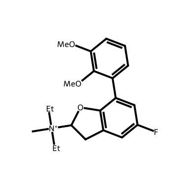 CC[N+](C)(CC)C1Cc2cc(F)cc(-c3cccc(OC)c3OC)c2O1